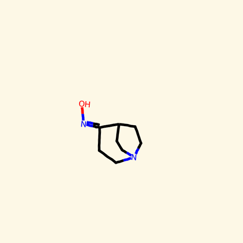 ON=C1CCN2CCC1CC2